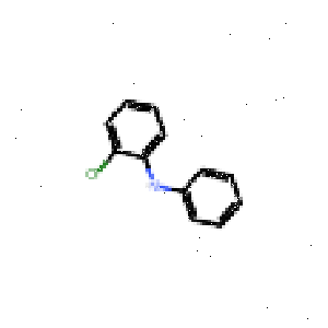 Clc1ccccc1[N]c1ccccc1